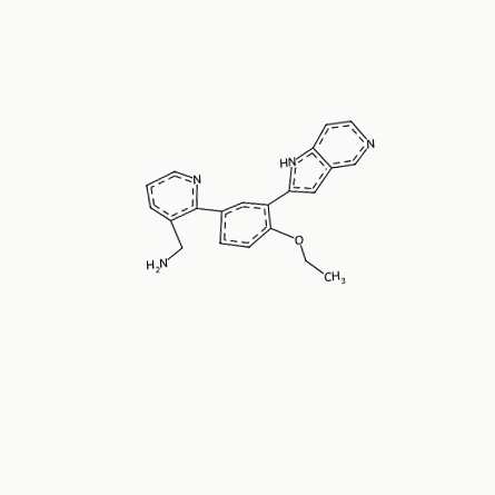 CCOc1ccc(-c2ncccc2CN)cc1-c1cc2cnccc2[nH]1